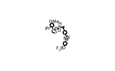 COc1ccc(N2CCCS/C2=N\C(=O)NC2CC2c2ccc(-c3ncn(-c4ccc(OC(F)(F)F)cc4)n3)cc2)c(C(C)C)c1